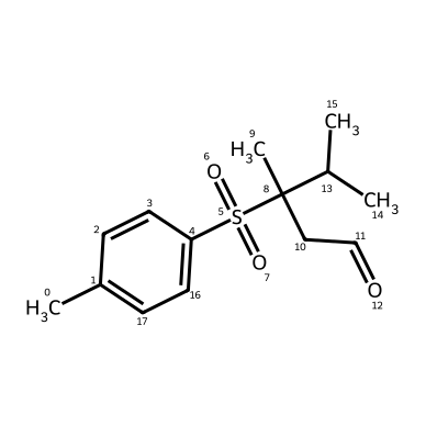 Cc1ccc(S(=O)(=O)C(C)(CC=O)C(C)C)cc1